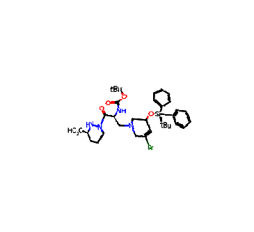 CC(C)(C)OC(=O)N[C@@H](CN1CC(Br)=CC(O[Si](c2ccccc2)(c2ccccc2)C(C)(C)C)C1)C(=O)N1CCC[C@@H](C(=O)O)N1